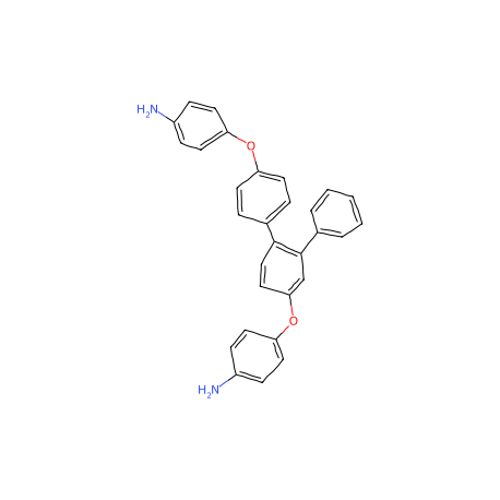 Nc1ccc(Oc2ccc(-c3ccc(Oc4ccc(N)cc4)cc3-c3ccccc3)cc2)cc1